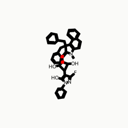 CN1C(=CC2C(O)C(c3c(F)nn(-c4ccccc4)c3O)C2O)C(Cc2ccccc2)(Cc2ccccc2)c2c1ccc1ccccc21